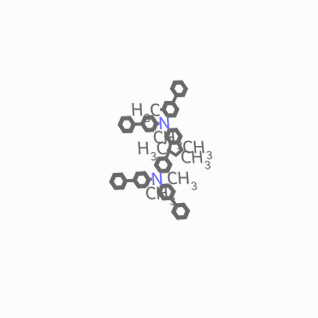 Cc1cc(-c2ccccc2)ccc1N(c1ccc(C2(C)CC(C)(C)c3ccc(N(c4ccc(-c5ccccc5)cc4C)c4ccc(-c5ccccc5)cc4C)cc32)cc1)c1ccc(-c2ccccc2)cc1C